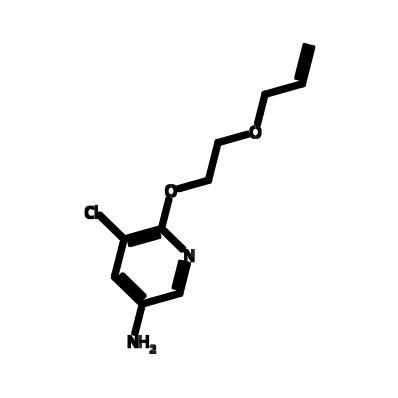 C=CCOCCOc1ncc(N)cc1Cl